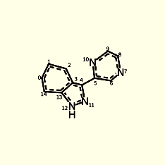 c1ccc2c(-c3cnccn3)n[nH]c2c1